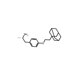 C[C@H](N)Cc1ccc(OCCC23CC4CC(CC(C4)C2)C3)cc1